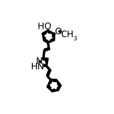 COc1cc(/C=C/c2cc(/C=C/c3ccccc3)[nH]n2)ccc1O